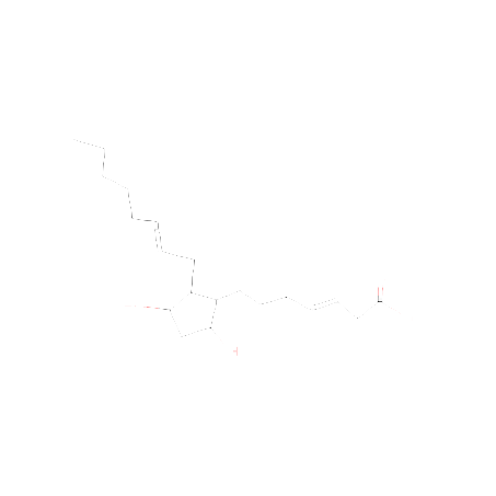 CCCCCC=CCC1C(O)CC(O)C1CCCC=CCC(=O)O